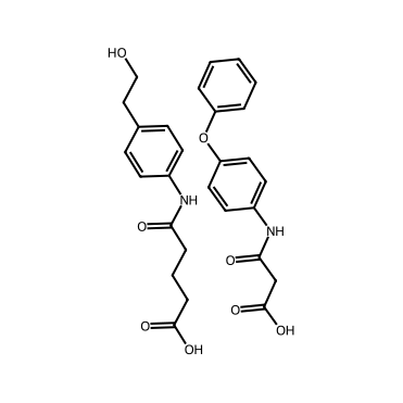 O=C(O)CC(=O)Nc1ccc(Oc2ccccc2)cc1.O=C(O)CCCC(=O)Nc1ccc(CCO)cc1